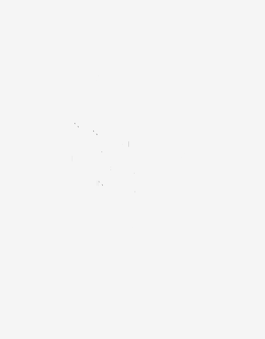 Cc1cnn(C(C)(C)C(=O)Nc2ccc(C(F)(F)F)cc2OCC2COC2)c1